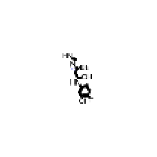 CC/C(CC(O)Nc1ccc(F)c(Cl)c1)=N\C=N